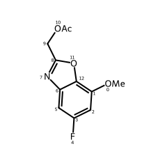 COc1cc(F)cc2nc(COC(C)=O)oc12